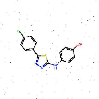 Oc1ccc(Nc2nnc(-c3ccc(Cl)cc3)s2)cc1